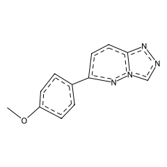 COc1ccc(-c2ccc3nncn3n2)cc1